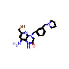 Nc1cc(CS)nc2c1NC(=O)CN2Cc1cccc(CN2CCCC2)c1